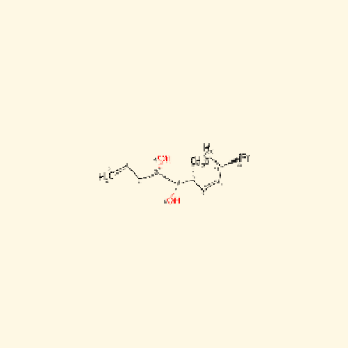 C=CC[C@H](O)[C@@H](O)[C@H](C)/C=C\[C@@H](C)C(C)C